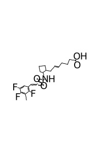 Cc1c(F)c(F)cc(C=CS(=O)(=O)NC2CCCC2CC=CCCCC(=O)O)c1F